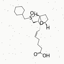 O=C(O)CCC/C=C\C[C@@H]1[C@@H](C[S+]([O-])CC2CCCCC2)[C@@H]2CC[C@H]1O2